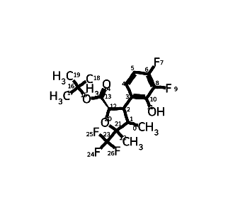 CC1C(c2ccc(F)c(F)c2O)[C@H](C(=O)OC(C)(C)C)OC1(C)C(F)(F)F